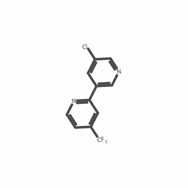 FC(F)(F)c1ccnc(-c2cncc(Cl)c2)c1